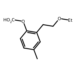 CCOCCc1cc(C)ccc1OC(=O)O